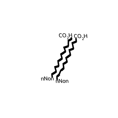 CCCCCCCCCC=CC=CC=CC=CC=CC=CC(=O)O.CCCCCCCCCC=CC=CC=CC=CC=CC=CC(=O)O